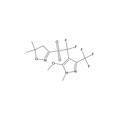 COc1c(C(F)(F)S(=O)(=O)C2=NOC(C)(C)C2)c(C(F)(F)F)nn1C